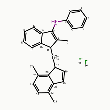 CC1=C(Pc2ccccc2)c2ccccc2[CH]1[Ti+2][CH]1C=Cc2c(C)ccc(C)c21.[F-].[F-]